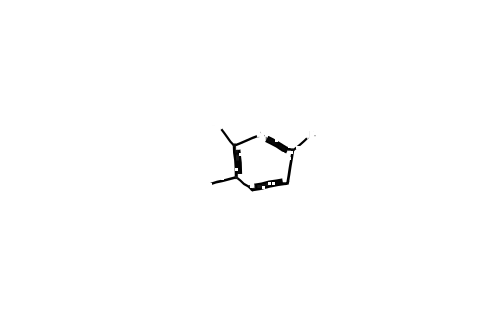 CC(C)(C)c1nc(Br)ccc1C(=O)O